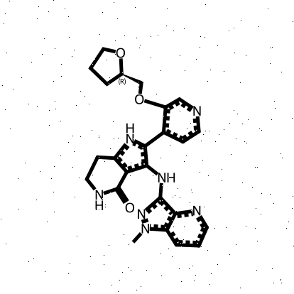 Cn1nc(Nc2c(-c3ccncc3OC[C@H]3CCCO3)[nH]c3c2C(=O)NCC3)c2ncccc21